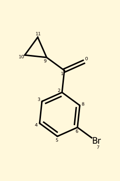 C=C(c1cccc(Br)c1)C1CC1